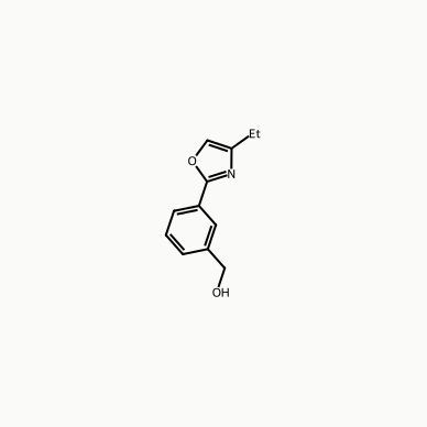 CCc1coc(-c2cccc(CO)c2)n1